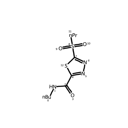 CCCCNC(=O)c1nnc(S(=O)(=O)CCC)s1